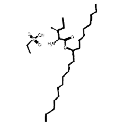 CCCCCCCCCCCC(CCCCCCCC)OC(=O)[C@@H](N)[C@@H](C)CC.CCS(=O)(=O)O